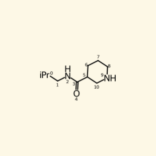 CC(C)CNC(=O)C1CCCNC1